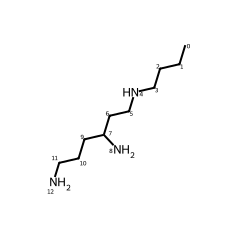 CCCCNCCC(N)CCCN